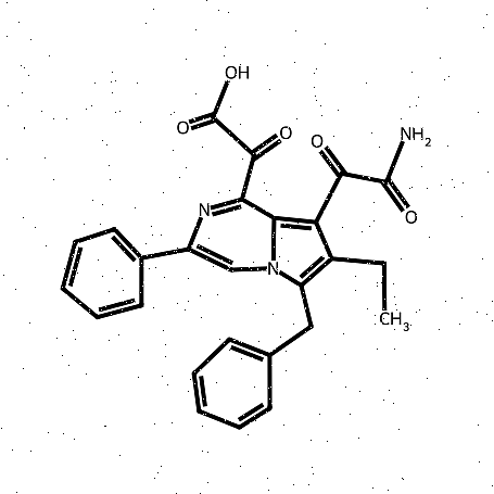 CCc1c(C(=O)C(N)=O)c2c(C(=O)C(=O)O)nc(-c3ccccc3)cn2c1Cc1ccccc1